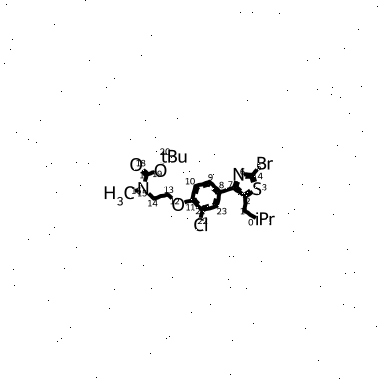 CC(C)Cc1sc(Br)nc1-c1ccc(OCCN(C)C(=O)OC(C)(C)C)c(Cl)c1